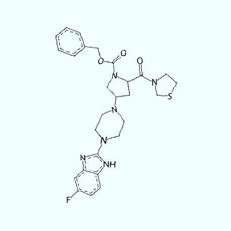 O=C(C1CC(N2CCN(c3nc4cc(F)ccc4[nH]3)CC2)CN1C(=O)OCc1ccccc1)N1CCSC1